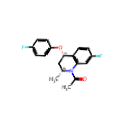 CC(=O)N1c2cc(F)ccc2[C@@H](Oc2ccc(F)cc2)C[C@H]1C